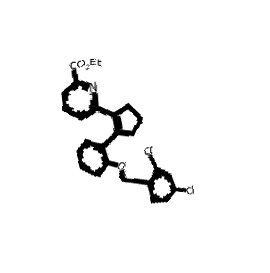 CCOC(=O)c1cccc(C2=C(c3ccccc3OCc3ccc(Cl)cc3Cl)CCC2)n1